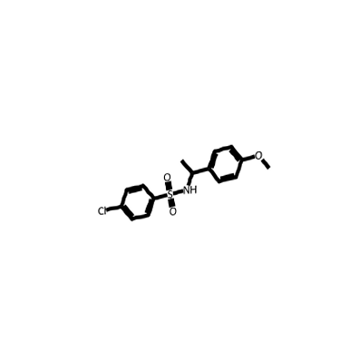 COc1ccc(C(C)NS(=O)(=O)c2ccc(Cl)cc2)cc1